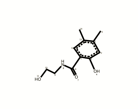 Cc1cc(O)c(C(=O)NCCO)cc1C